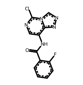 O=C(Nc1cnc(Cl)n2cnnc12)c1ccccc1F